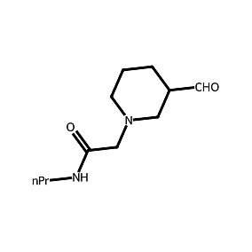 CCCNC(=O)CN1CCCC(C=O)C1